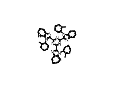 Cc1ccccc1-n1c(-c2nc(-c3nc4ccccc4n3-c3ccccc3C)nc(-c3nc4cccnc4n3-c3ccccc3C)n2)nc2ccccc21